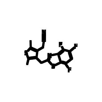 Cc1sc(C)c(Cc2nc3c(F)c(F)cc(F)c3s2)c1CC#N